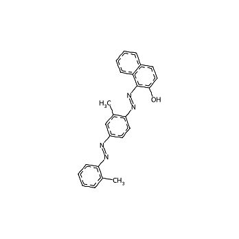 Cc1ccccc1/N=N/c1ccc(/N=N/c2c(O)ccc3ccccc23)c(C)c1